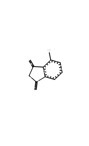 CC(=O)Nc1cccc2c1C(=O)CC2=O